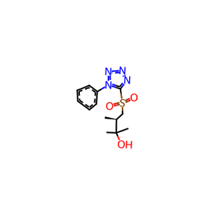 C[C@@H](CS(=O)(=O)c1nnnn1-c1ccccc1)C(C)(C)O